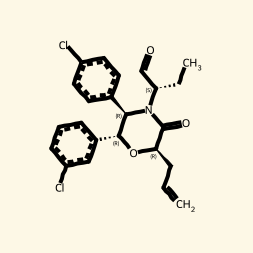 C=CC[C@H]1O[C@H](c2cccc(Cl)c2)[C@@H](c2ccc(Cl)cc2)N([C@H](C=O)CC)C1=O